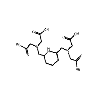 O=C(O)CN(CC(=O)O)CC1CCCC(CN(CC(=O)O)CC(=O)O)N1